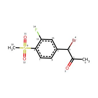 CC(=O)C(Br)c1ccc(S(C)(=O)=O)c(F)c1